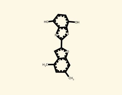 Cc1cc(C)c2cc(-c3nc4c(O)ccc(O)c4s3)oc2c1